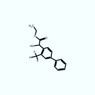 CCOC(=O)C(O)c1ccc(-c2ccccc2)cc1C(F)(F)F